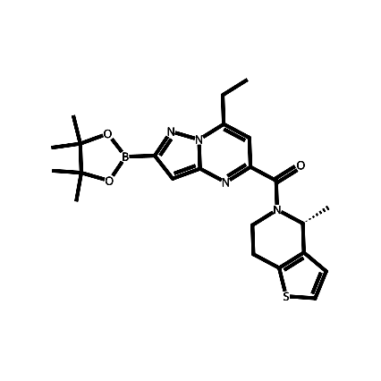 CCc1cc(C(=O)N2CCc3sccc3[C@H]2C)nc2cc(B3OC(C)(C)C(C)(C)O3)nn12